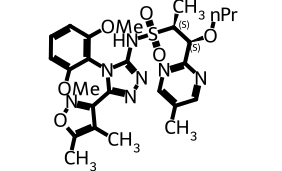 CCCO[C@@H](c1ncc(C)cn1)[C@H](C)S(=O)(=O)Nc1nnc(-c2noc(C)c2C)n1-c1c(OC)cccc1OC